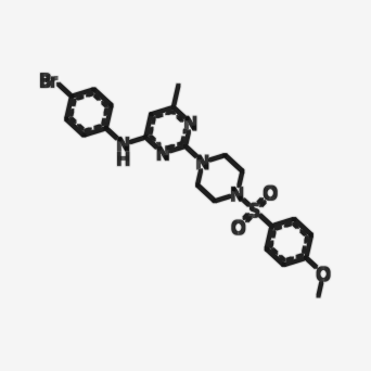 COc1ccc(S(=O)(=O)N2CCN(c3nc(C)cc(Nc4ccc(Br)cc4)n3)CC2)cc1